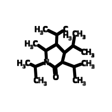 CC(C)C1C(=O)N(C(C)C)C(C)C(C(C)C)C1C(C)C